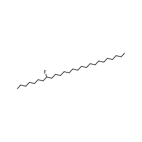 CCCCCCCCCCCCCCCCCCC(F)CCCCCCC